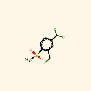 CS(=O)(=O)c1c[c]c(C(Cl)Cl)cc1CF